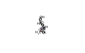 CC(C(=O)N/N=C1\C(=O)Nc2ccc(NC(=O)CN3CCC(O)CC3)cc21)c1ccc(F)cc1